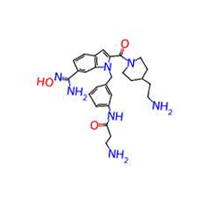 NCCC(=O)Nc1cccc(Cn2c(C(=O)N3CCC(CCN)CC3)cc3ccc(/C(N)=N/O)cc32)c1